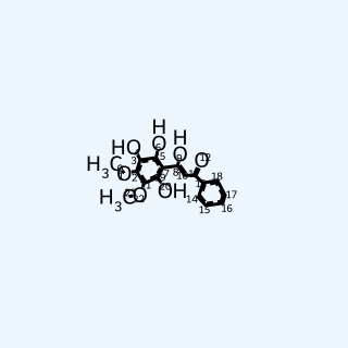 COc1c(O)c(O)c(C(O)=CC(=O)c2ccccc2)c(O)c1OC